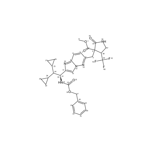 COC(=O)C1(Cc2ccc3nc([C@@H](NC(=O)OCc4ccccc4)C(C4CC4)C4CC4)cn3n2)C(=O)NCC1C(F)(F)F